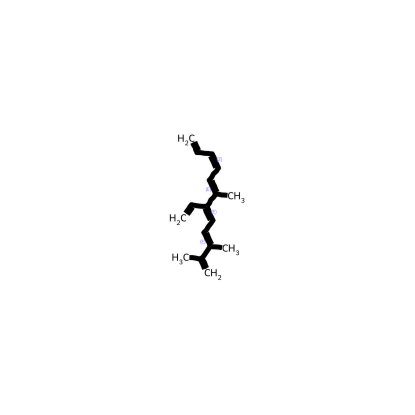 C=C\C=C/C=C(C)/C(C=C)=C/C=C(\C)C(=C)C